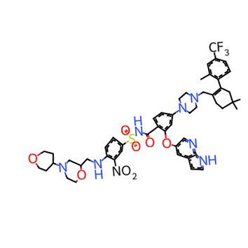 Cc1cc(C(F)(F)F)ccc1C1=C(CN2CCN(c3ccc(C(=O)NS(=O)(=O)c4ccc(NCC5CN(C6CCOCC6)CCO5)c([N+](=O)[O-])c4)c(Oc4cnc5[nH]ccc5c4)c3)CC2)CCC(C)(C)C1